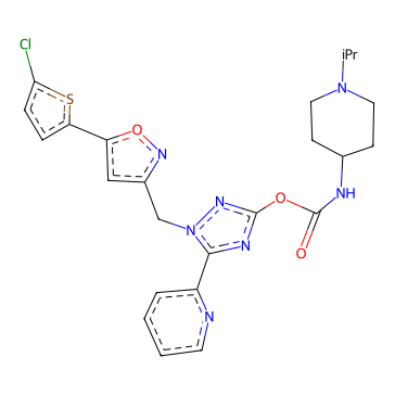 CC(C)N1CCC(NC(=O)Oc2nc(-c3ccccn3)n(Cc3cc(-c4ccc(Cl)s4)on3)n2)CC1